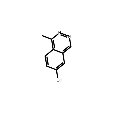 Cc1nncc2cc(O)ccc12